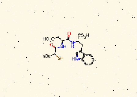 CCCC[C@H](S)C(=O)N[C@@H](CC(=O)O)C(=O)N[C@@H](Cc1c[nH]c2ccccc12)C(=O)O